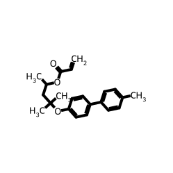 C=CC(=O)OC(C)CC(C)(C)Oc1ccc(-c2ccc(C)cc2)cc1